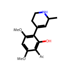 COc1cc(OC)c(C2=CC(C)NCC2)c(O)c1C(C)=O